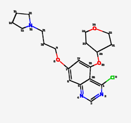 Clc1ncnc2cc(OCCCN3CCCC3)cc(OC3CCOCC3)c12